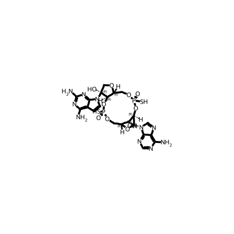 Nc1nc(N)c2ccn([C@@]3(O)CO[C@@H]4COP(=O)(S)O[C@@H]5[C@H](O)[C@@H](COP(=O)(S)O[C@H]43)O[C@H]5n3cnc4c(N)ncnc43)c2n1